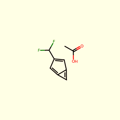 CC(=O)O.FC(F)c1cc2cc-2c1